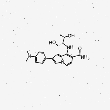 C[C@@H](O)[C@@H](CO)Nc1c(C(N)=O)ccn2cc(-c3ccc(N(C)C)cc3)cc12